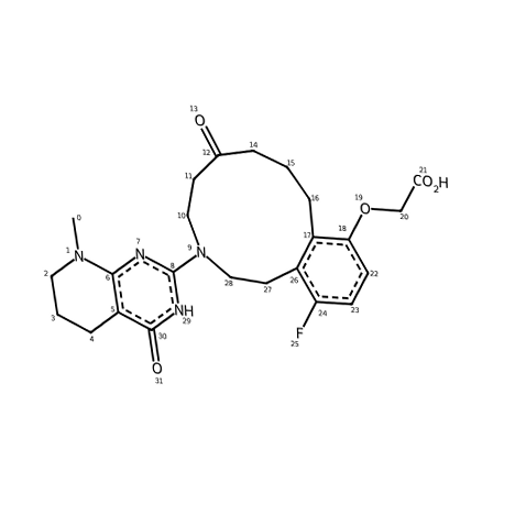 CN1CCCc2c1nc(N1CCC(=O)CCCc3c(OCC(=O)O)ccc(F)c3CC1)[nH]c2=O